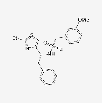 CCc1nc(C(Cc2cc[c]cc2)NS(=O)(=O)Cc2cccc(OC)c2)cs1